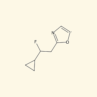 FC(Cc1nc[c]o1)C1CC1